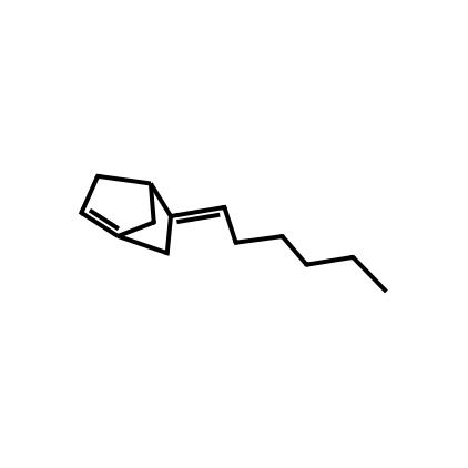 CCCCCC=C1CC2=CCC1C2